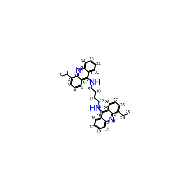 CCc1cccc2c(NCCCCNc3c4ccccc4nc4c(CC)cccc34)c3ccccc3nc12